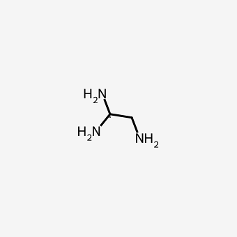 NC[C](N)N